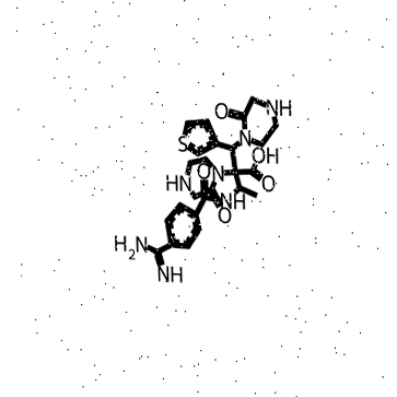 CC(NC(=O)c1ccc(C(=N)N)cc1)C(C(=O)O)(C(c1ccsc1)N1CCNCC1=O)N1CCNCC1=O